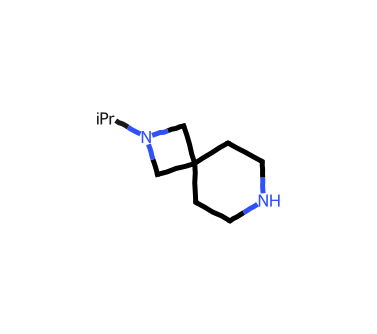 CC(C)N1CC2(CCNCC2)C1